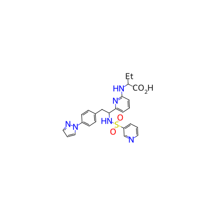 CCC(Nc1cccc(C(Cc2ccc(-n3cccn3)cc2)NS(=O)(=O)c2cccnc2)n1)C(=O)O